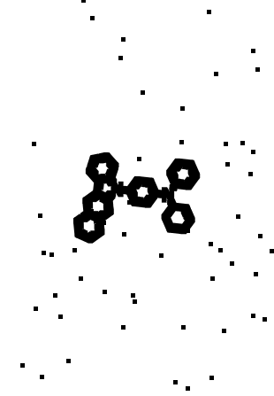 C1=CCC(N(c2ccccc2)c2ccc(-n3c4ccccc4c4cc5ccccc5cc43)cc2)C=C1